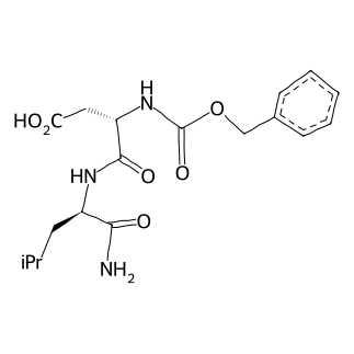 CC(C)C[C@@H](NC(=O)[C@H](CC(=O)O)NC(=O)OCc1ccccc1)C(N)=O